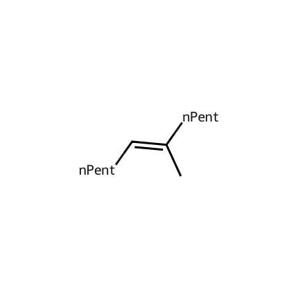 CCCCCC=C(C)CCCCC